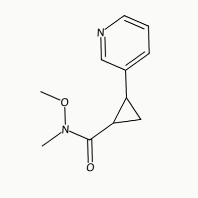 CON(C)C(=O)C1CC1c1cccnc1